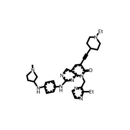 CCc1nccnc1Cn1c(=O)c(C#CC2CCN(CC)CC2)cc2cnc(Nc3ccc(NC4CCN(C)C4)cc3)nc21